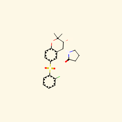 CC1(C)Oc2ccc(S(=O)(=O)c3ccccc3Cl)cc2[C@@H](N2CCCC2=O)[C@@H]1O